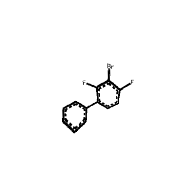 Fc1ccc(-c2ccccc2)c(F)c1Br